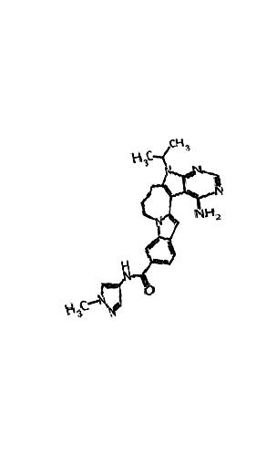 CC(C)n1c2c(c3c(N)ncnc31)-c1cc3ccc(C(=O)Nc4cnn(C)c4)cc3n1CCC2